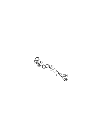 O=C(Nc1ccc2c(c1)CCN(C(=O)OC1CCC(CC(=O)OC[C@@H](O)CO)CC1)C2)Nc1ccccc1F